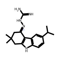 CC(C)c1ccc2[nH]c3c(c2c1)/C(=N/NC(=N)N)CC(C)(C)C3